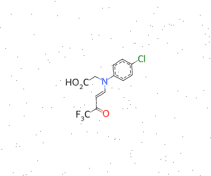 O=C(O)CN(/C=C/C(=O)C(F)(F)F)c1ccc(Cl)cc1